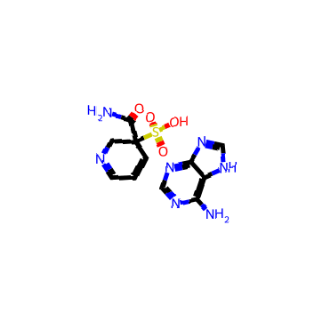 NC(=O)C1(S(=O)(=O)O)C=CC=NC1.Nc1ncnc2nc[nH]c12